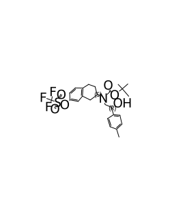 Cc1ccc([C@@H](O)CN(C(=O)OC(C)(C)C)[C@H]2CCc3ccc(OS(=O)(=O)C(F)(F)F)cc3C2)cc1